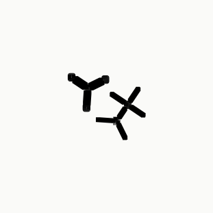 CN(C)[Si](C)(C)C.O=S(=O)=O